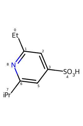 CCc1cc(S(=O)(=O)O)cc(C(C)C)n1